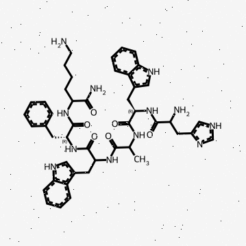 CC(NC(=O)[C@@H](Cc1c[nH]c2ccccc12)NC(=O)C(N)Cc1c[nH]cn1)C(=O)NC(Cc1c[nH]c2ccccc12)C(=O)N[C@H](Cc1ccccc1)C(=O)NC(CCCCN)C(N)=O